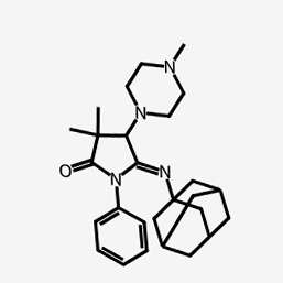 CN1CCN(C2C(=NC34CC5CC(CC(C5)C3)C4)N(c3ccccc3)C(=O)C2(C)C)CC1